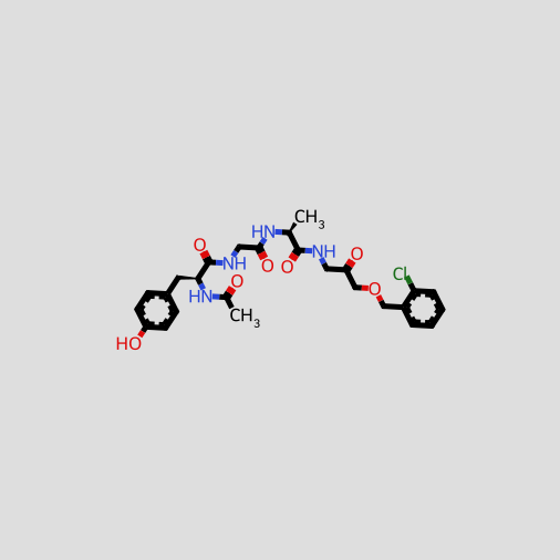 CC(=O)N[C@@H](Cc1ccc(O)cc1)C(=O)NCC(=O)N[C@@H](C)C(=O)NCC(=O)COCc1ccccc1Cl